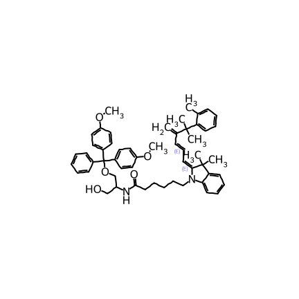 C=C(/C=C/C=C1/N(CCCCCC(=O)NC(CO)COC(c2ccccc2)(c2ccc(OC)cc2)c2ccc(OC)cc2)c2ccccc2C1(C)C)C(C)(C)c1ccccc1C